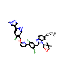 Cn1cc(-c2cc(F)c(COc3cccc(-c4cc(F)c(Cc5nc6ccc(C(=O)O)cc6n5C5COCC5(C)C)cc4F)n3)cn2)cn1